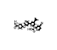 N#Cc1ccnc(N(C(=O)O)c2cc(C3CC3)cc(-c3cncc(OC4CCN(C(N)=O)CC4)c3)n2)c1